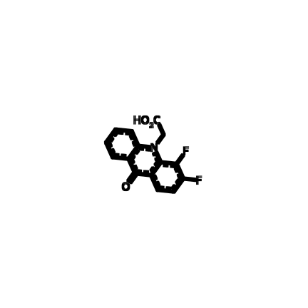 O=C(O)Cn1c2ccccc2c(=O)c2ccc(F)c(F)c21